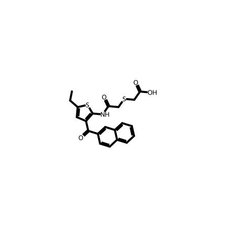 CCc1cc(C(=O)c2ccc3ccccc3c2)c(NC(=O)CSCC(=O)O)s1